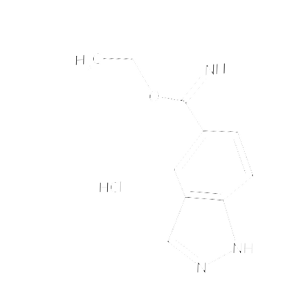 CCOC(=N)c1ccc2[nH]ncc2c1.Cl